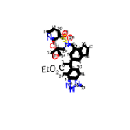 CCOC(=O)CC(c1cc2c(c(CN3CC4(COC4)Oc4ncccc4S3(=O)=O)c1)CCC2)c1ccc2c(nnn2C)c1C